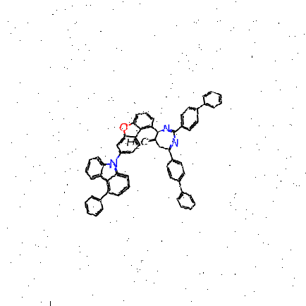 C=C1CC(c2ccc(-c3ccccc3)cc2)=NC(c2ccc(-c3ccccc3)cc2)=NC1c1cccc2oc3cc(-n4c5ccccc5c5c(-c6ccccc6)cccc54)ccc3c12